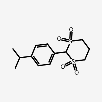 CC(C)c1ccc(C2S(=O)(=O)CCCS2(=O)=O)cc1